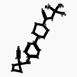 CC(C)(C)OC(=O)N1CCN(c2ccc(NC3(C#N)CCC3)cc2)CC1